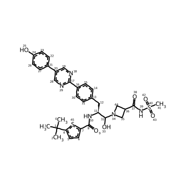 CC(C)(C)c1ccc(C(=O)N[C@@H](Cc2ccc(-c3ncc(-c4ccc(O)cc4)cn3)cc2)C(O)N2CC(C(=O)NS(C)(=O)=O)C2)s1